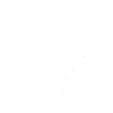 CCC(C)OC(=O)c1cc(NC(=O)C(CC)NC(=O)Cc2cc(F)cc(F)c2)n(C(N)=O)n1